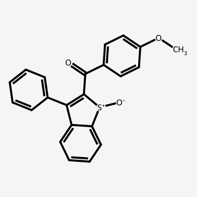 COc1ccc(C(=O)c2c(-c3ccccc3)c3ccccc3[s+]2[O-])cc1